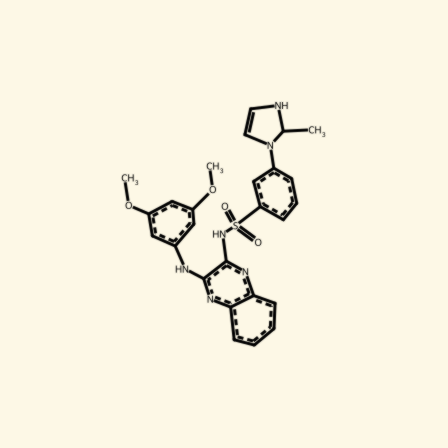 COc1cc(Nc2nc3ccccc3nc2NS(=O)(=O)c2cccc(N3C=CNC3C)c2)cc(OC)c1